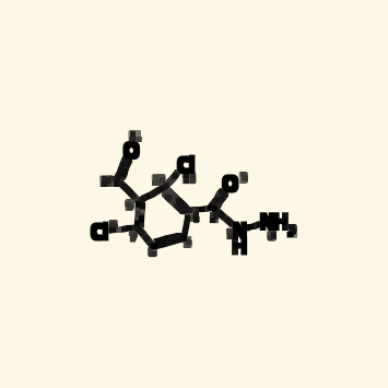 NNC(=O)c1ccc(Cl)c([C]=O)c1Cl